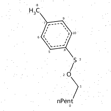 CCCCCCOSc1ccc(C)cc1